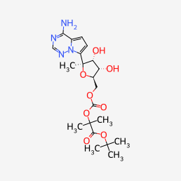 CC(C)(C)OC(=O)C(C)(C)OC(=O)OC[C@H]1O[C@@](C)(c2ccc3c(N)ncnn23)[C@H](O)[C@@H]1O